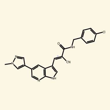 Cn1cc(-c2cnc3[nH]cc(/C=C(\C#N)C(=O)NCc4ccc(Cl)cc4)c3c2)cn1